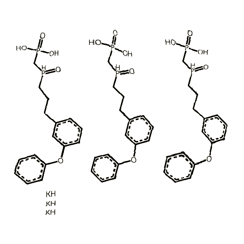 O=[PH](CCCc1cccc(Oc2ccccc2)c1)CP(=O)(O)O.O=[PH](CCCc1cccc(Oc2ccccc2)c1)CP(=O)(O)O.O=[PH](CCCc1cccc(Oc2ccccc2)c1)CP(=O)(O)O.[KH].[KH].[KH]